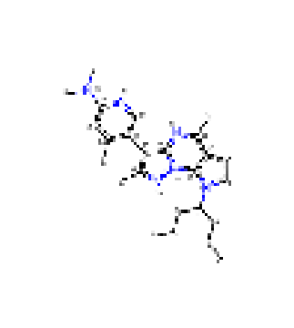 CCCC(CCC)n1ccc2c(C)nc3c(-c4cnc(N(C)C)cc4C)c(C)nn3c21